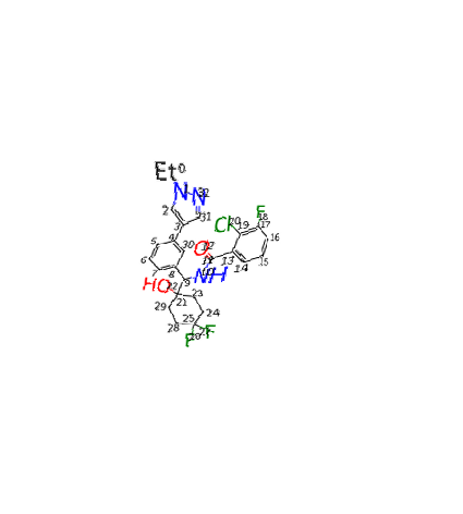 CCn1cc(-c2cccc(C(NC(=O)c3cccc(F)c3Cl)C3(O)CCC(F)(F)CC3)c2)cn1